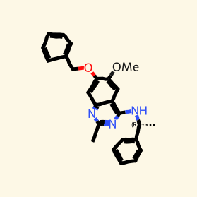 COc1cc2c(N[C@H](C)c3ccccc3)nc(C)nc2cc1OCc1ccccc1